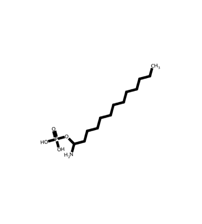 CCCCCCCCCCCCC(N)OP(=O)(O)O